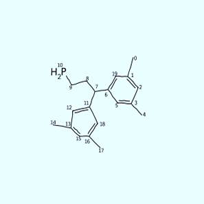 Cc1cc(C)cc(C(CCP)c2cc(C)cc(C)c2)c1